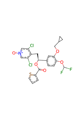 O=C(O[C@@H](Cc1c(Cl)c[n+]([O-])cc1Cl)c1ccc(OC(F)F)c(OCC2CC2)c1)c1cccs1